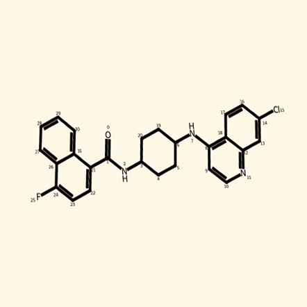 O=C(NC1CCC(Nc2ccnc3cc(Cl)ccc23)CC1)c1ccc(F)c2ccccc12